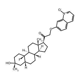 C[C@@]1(O)CC[C@@]2(F)[C@H](CC[C@H]3[C@@H]4CC[C@H](C(=O)COc5ccc6ccc[n+]([O-])c6c5)[C@@]4(C)CC[C@@H]32)C1